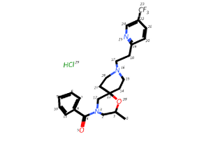 CC1CN(C(=O)c2ccccc2)CC2(CCN(CCc3ccc(C(F)(F)F)cn3)CC2)O1.Cl